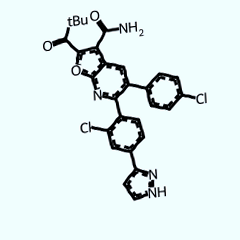 CC(C)(C)C(=O)c1oc2nc(-c3ccc(-c4cc[nH]n4)cc3Cl)c(-c3ccc(Cl)cc3)cc2c1C(N)=O